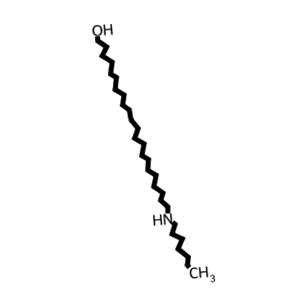 CCCCCCCNCCCCCCCCCCCCCCCCCCCCCCO